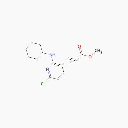 COC(=O)/C=C/c1ccc(Cl)nc1NC1CCCCC1